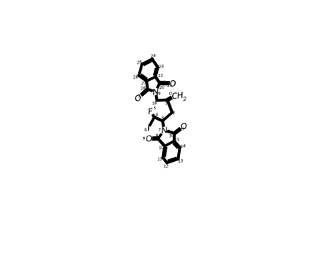 C=C(CC(C(F)I)N1C(=O)c2ccccc2C1=O)CN1C(=O)c2ccccc2C1=O